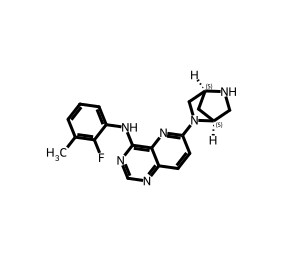 Cc1cccc(Nc2ncnc3ccc(N4C[C@@H]5C[C@H]4CN5)nc23)c1F